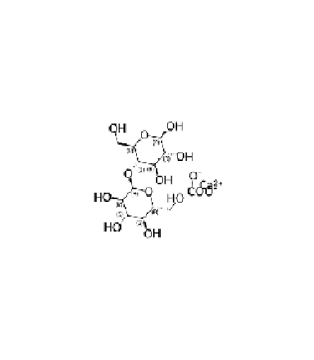 O=C([O-])[O-].OC[C@H]1O[C@H](O[C@H]2[C@H](O)[C@@H](O)[C@H](O)O[C@@H]2CO)[C@H](O)[C@@H](O)[C@@H]1O.[Ca+2]